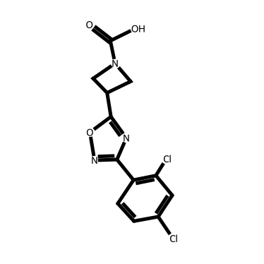 O=C(O)N1CC(c2nc(-c3ccc(Cl)cc3Cl)no2)C1